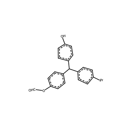 CC(C)c1ccc(C(c2ccc(O)cc2)c2ccc(OC=O)cc2)cc1